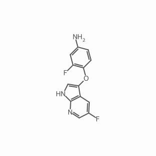 Nc1ccc(Oc2c[nH]c3ncc(F)cc23)c(F)c1